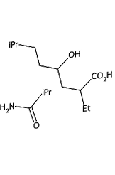 CC(C)C(N)=O.CCC(CC(O)CCC(C)C)C(=O)O